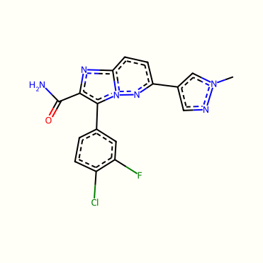 Cn1cc(-c2ccc3nc(C(N)=O)c(-c4ccc(Cl)c(F)c4)n3n2)cn1